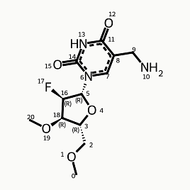 COC[C@H]1O[C@@H](n2cc(CN)c(=O)[nH]c2=O)[C@H](F)[C@@H]1OC